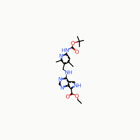 CCOC(=O)c1[nH]cc2c(NCc3c(C)cc(NC(=O)OC(C)(C)C)nc3C)ncnc12